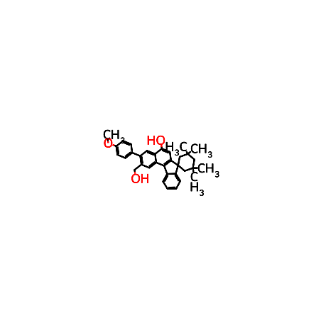 COc1ccc(-c2cc3c(O)cc4c(c3cc2CO)-c2ccccc2C42CC(C)(C)CC(C)(C)C2)cc1